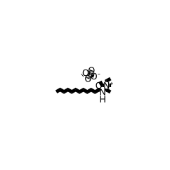 CCCCCCCCCCCC(=O)NC(C)[N+](C)(CC)CC.COS(=O)(=O)[O-]